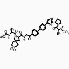 COC(=O)N[C@H](C(=O)N1CC2(CCS(=O)(=O)CC2)CC1C(=O)NCC(=O)c1ccc(-c2ccc(-c3c[nH]c([C@@H]4CCCN4C(=O)[C@H](C(C)C)N(C)C(=O)O)n3)cc2)cc1)C(C)C